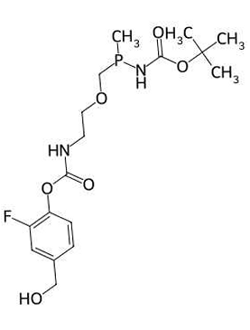 CP(COCCNC(=O)Oc1ccc(CO)cc1F)NC(=O)OC(C)(C)C